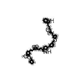 COc1ccc(/C=C/C(=O)CC(=O)/C=C/c2c[nH]c3cc(-c4cccc(COc5cccc(/C=C/C(=O)CC(=O)/C=C/c6c[nH]c7ccccc67)c5)c4)ccc23)cc1OCc1ccccc1